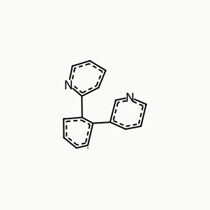 [c]1cccc(-c2ccccn2)c1-c1cccnc1